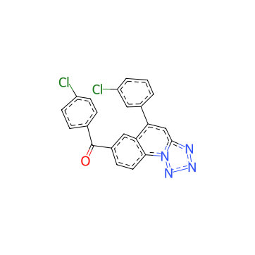 O=C(c1ccc(Cl)cc1)c1ccc2c(c1)c(-c1cccc(Cl)c1)cc1nnnn12